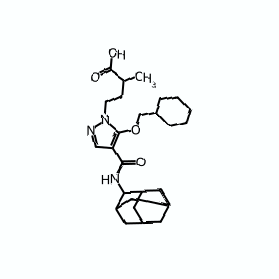 CC(CCn1ncc(C(=O)NC2C3CC4CC(C3)CC2C4)c1OCC1CCCCC1)C(=O)O